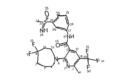 Cc1nc(N2CCCC(F)(F)CC2)c(C(=O)Nc2cccc(S(C)(=N)=O)c2)cc1C(F)(F)F